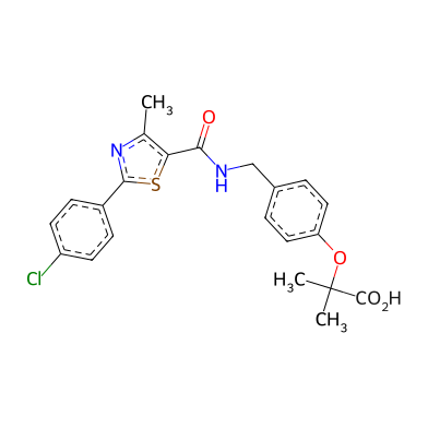 Cc1nc(-c2ccc(Cl)cc2)sc1C(=O)NCc1ccc(OC(C)(C)C(=O)O)cc1